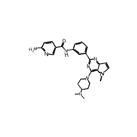 CN(C)C1CCN(c2nc(-c3cccc(NC(=O)c4ccc(N)nc4)c3)nc3ccn(C)c23)CC1